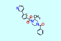 CC1CN(C(=O)c2ccccc2)CCN1S(=O)(=O)c1ccc(-c2cccnc2)s1